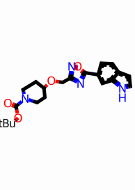 CC(C)(C)OC(=O)N1CCC(OCc2noc(-c3ccc4cc[nH]c4c3)n2)CC1